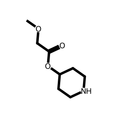 COCC(=O)OC1CCNCC1